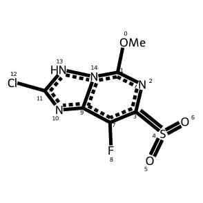 COc1nc(=S(=O)=O)c(F)c2nc(Cl)[nH]n12